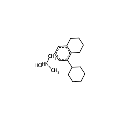 CNC.Cl.c1cc2c(c(C3CCCCC3)c1)CCCC2